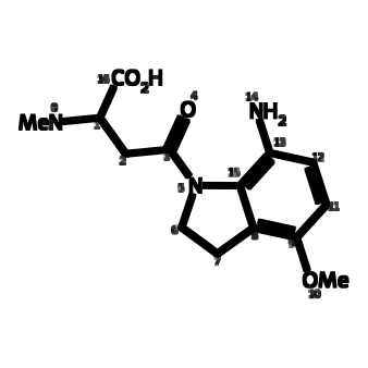 CNC(CC(=O)N1CCc2c(OC)ccc(N)c21)C(=O)O